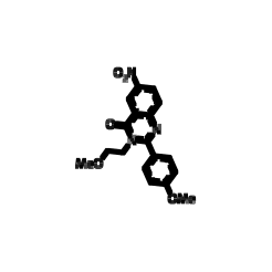 COCCn1c(-c2ccc(OC)cc2)nc2ccc([N+](=O)[O-])cc2c1=O